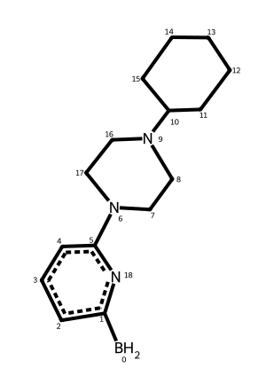 Bc1cccc(N2CCN(C3CCCCC3)CC2)n1